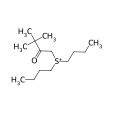 CCCC[S+](CCCC)CC(=O)C(C)(C)C